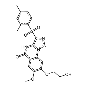 COc1cc2c(=O)[nH]c3c(S(=O)(=O)c4ccc(C)cc4C)nnn3c2cc1OCCO